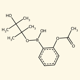 CC(=O)Oc1ccccc1B(O)OC(C)(C)C(C)(C)O